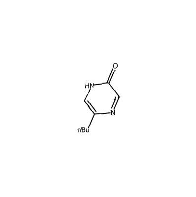 CCCCc1c[nH]c(=O)cn1